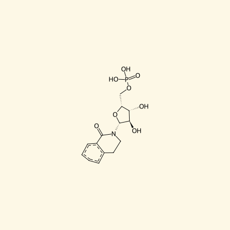 O=C1c2ccccc2CCN1[C@@H]1O[C@H](COP(=O)(O)O)[C@H](O)[C@H]1O